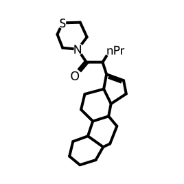 CCCC(C(=O)N1CCSCC1)C1=CCC2C1CCC1C3CCCCC3CCC21